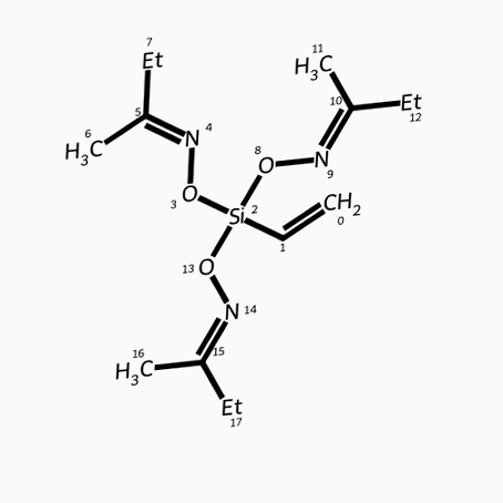 C=C[Si](ON=C(C)CC)(ON=C(C)CC)ON=C(C)CC